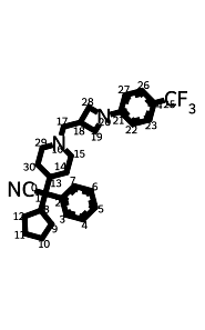 N#CC(c1ccccc1)(C1CCCC1)C1CCN(CC2CN(c3ccc(C(F)(F)F)cc3)C2)CC1